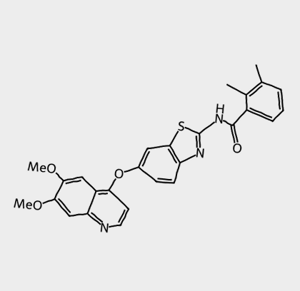 COc1cc2nccc(Oc3ccc4nc(NC(=O)c5cccc(C)c5C)sc4c3)c2cc1OC